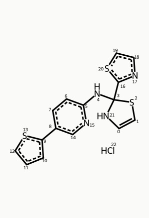 C1=CSC(Nc2ccc(-c3cccs3)cn2)(c2nccs2)N1.Cl